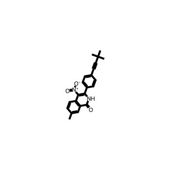 Cc1ccc2c([N+](=O)[O-])c(-c3ccc(C#CC(C)(C)C)cc3)[nH]c(=O)c2c1